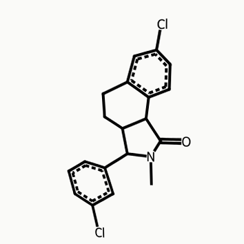 CN1C(=O)C2c3ccc(Cl)cc3CCC2C1c1cccc(Cl)c1